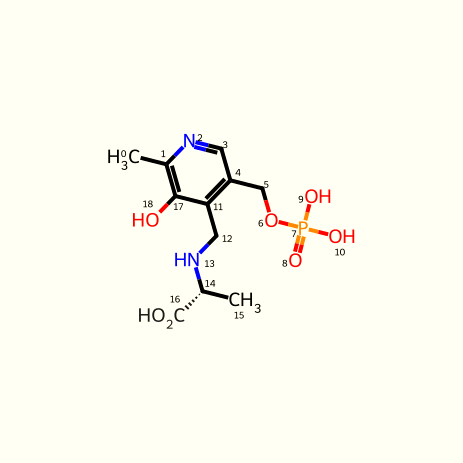 Cc1ncc(COP(=O)(O)O)c(CN[C@H](C)C(=O)O)c1O